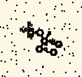 CC(C)(C)OC(=O)N1CCCC(c2cc(-c3ccccc3OCc3ccccc3)nc(NCc3ccccc3)c2C#N)C1